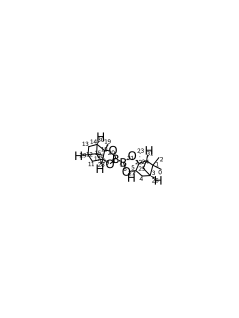 CC1(C)[C@@H]2C[C@H]3OB(B4O[C@@H]5C[C@@H]6C[C@@H](C6(C)C)[C@]5(C)O4)O[C@@]3(C)[C@H]1C2